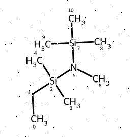 CC[Si](C)(C)N(C)[Si](C)(C)C